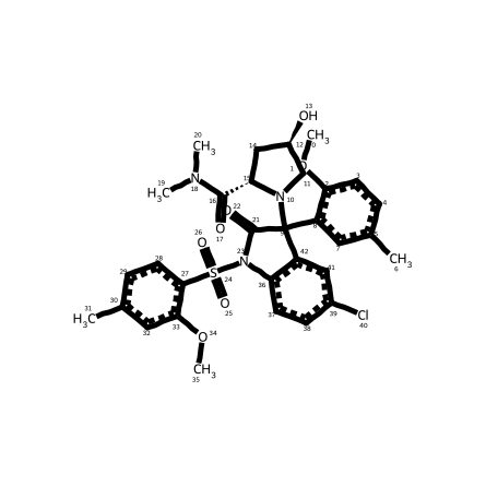 COc1ccc(C)cc1C1(N2C[C@H](O)C[C@H]2C(=O)N(C)C)C(=O)N(S(=O)(=O)c2ccc(C)cc2OC)c2ccc(Cl)cc21